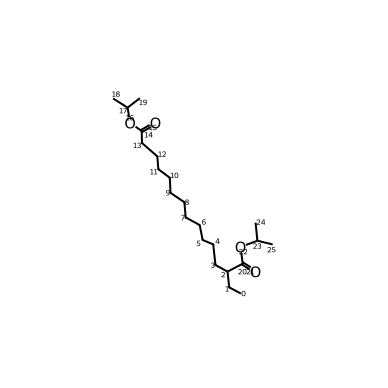 CCC(CCCCCCCCCCCC(=O)OC(C)C)C(=O)OC(C)C